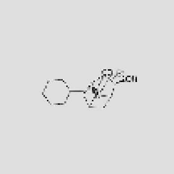 CCOC(=O)N1C2CC3CC1[C@H](O)C2NC3C1CCCCC1